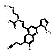 COCCN(/N=C/c1cc(-c2cncn2C)nc2cc(Cl)c(CCC#N)cc12)C(N)=S